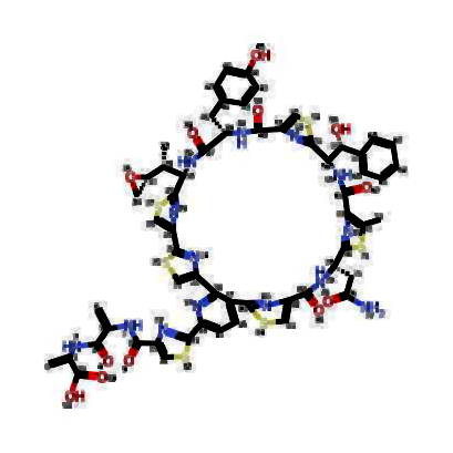 C=C(NC(=O)C(=C)NC(=O)c1csc(-c2ccc3c(n2)-c2csc(n2)-c2csc(n2)[C@H]([C@@H](C)[C@@H]2CO2)NC(=O)[C@H](Cc2ccc(O)cc2)NC(=O)c2csc(n2)[C@H]([C@H](O)c2ccccc2)NC(=O)c2nc(sc2C)[C@H](CC(N)=O)NC(=O)c2csc-3n2)n1)C(=O)O